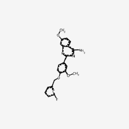 COc1ccc2c(N)nc(-c3ccc(OCc4cccc(F)c4)c(OC)c3)nc2c1